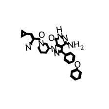 N#C/C(=C\C1CC1)C(=O)N1CCC[C@@H](n2nc(-c3ccc(Oc4ccccc4)cc3)c3c(N)n[nH]c(=O)c32)C1